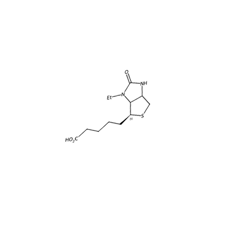 CCN1C(=O)NC2CS[C@@H](CCCCC(=O)O)C21